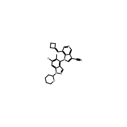 Cc1c(F)cc2c(cnn2C2CCCCO2)c1-n1cc(C#N)c2cncc(C=C3CCC3)c21